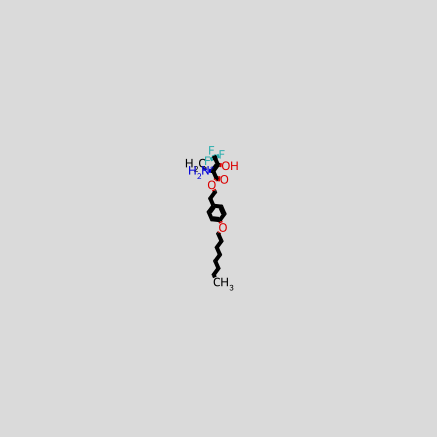 [CH2-][NH2+]/C(C(=O)OCCc1ccc(OCCCCCCCC)cc1)=C(/O)C(F)(F)F